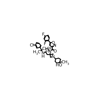 CC1(O)CCC(N2CC(CC(=O)NC(C)(C)c3cccc(Cl)c3)(NC(=O)c3cc(-c4ccc(F)cc4F)on3)C2)CC1